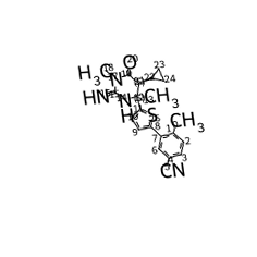 Cc1ccc(C#N)cc1-c1ccc([C@@]2(C)NC(=N)N(C)C(=O)[C@H]2C2CC2)s1